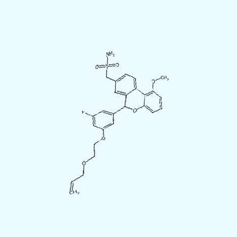 C=CCOCCOc1cc(F)cc(C2Oc3cccc(OC)c3-c3ccc(CS(N)(=O)=O)cc32)c1